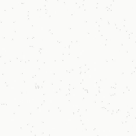 Cc1ccnc2cc(O)cc(O)c12